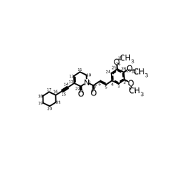 COc1cc(/C=C/C(=O)N2CCC=C(C#CC3CCCCC3)C2=O)cc(OC)c1OC